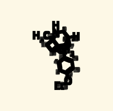 CCOc1ccc(N2C[C@H]3CNC4(C)CC2[C@@]4(C)C3)cc1